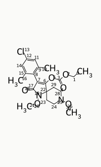 CCOC(=O)OC1=C(c2c(C)cc(Cl)cc2C)C(=O)N(OC)C12CCN(OC)CC2